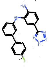 Nc1ccc(-c2nn[nH]n2)cc1Nc1cccc(-c2ccc(F)cc2)c1